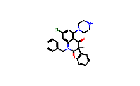 CC1(c2ccccc2)C(=O)c2c(N3CCNCC3)cc(Cl)cc2N(Cc2ccccc2)C1=O